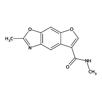 CNC(=O)c1coc2cc3oc(C)nc3cc12